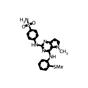 CSc1ccccc1Nc1nc(Nc2ccc(S(N)(=O)=O)cc2)nc2ccn(C)c12